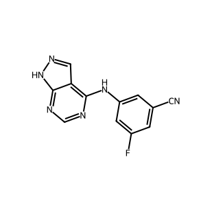 N#Cc1cc(F)cc(Nc2ncnc3[nH]ncc23)c1